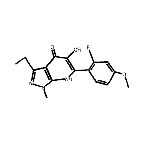 CCc1nn(C)c2[nH]c(-c3ccc(OC)cc3F)c(O)c(=O)c12